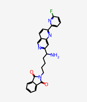 NC(CCCCN1C(=O)c2ccccc2C1=O)c1cc2nc(-c3cccc(F)n3)ccc2cn1